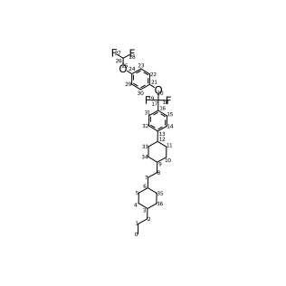 CCCC1CCC(CCC2CCC(c3ccc(C(F)(F)Oc4ccc(OC(F)F)cc4)cc3)CC2)CC1